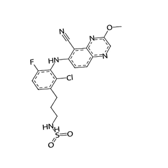 COc1cnc2ccc(Nc3c(F)ccc(CCCN[SH](=O)=O)c3Cl)c(C#N)c2n1